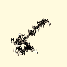 CC[C@H](C)[C@@H]1NC(=O)CNC(=O)[C@H](NC(=O)[C@@H](NC(=O)[C@@H]2C[C@@H](O)CN2)[C@@H](C)[C@@H](O)CO)Cc2c([nH]c3cc(OCCCCCCNC(=O)CNC(=O)CNC(=O)CNC(=O)CNC(=O)CNC(=O)OC(C)(C)C)ccc23)[S+]([O-])C[C@@H](C(=O)N[C@@H](CC(N)=O)C(=O)I)NC(=O)CNC1=O